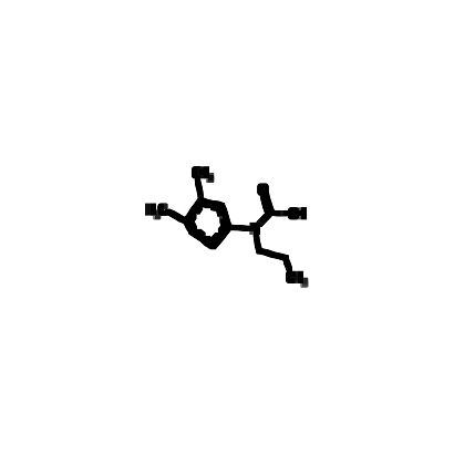 CCCN(C(=O)O)c1ccc(C)c(C)c1